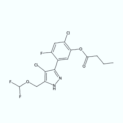 CCCC(=O)Oc1cc(-c2n[nH]c(COC(F)F)c2Cl)c(F)cc1Cl